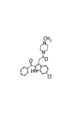 CN1CCN(C(=O)Cc2c(C(=O)c3ccccc3)[nH]c3cc(Cl)ccc23)CC1